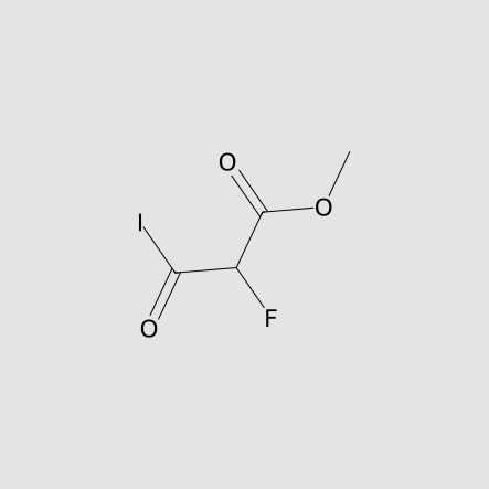 COC(=O)C(F)C(=O)I